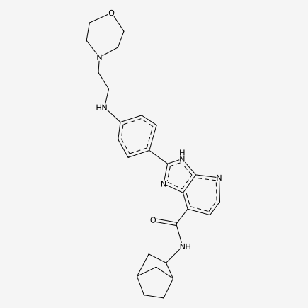 O=C(NC1CC2CCC1C2)c1ccnc2[nH]c(-c3ccc(NCCN4CCOCC4)cc3)nc12